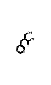 O=C(O)C(=CO)Cc1cncnc1